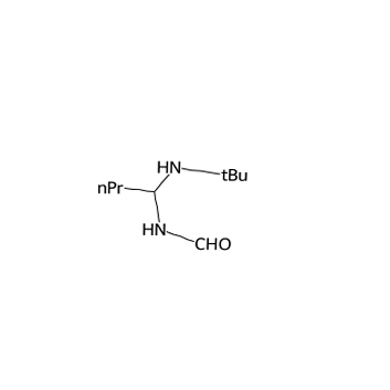 CCCC(NC=O)NC(C)(C)C